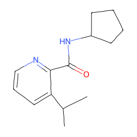 CC(C)c1cccnc1C(=O)NC1CCCC1